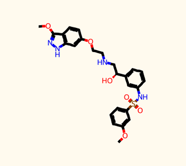 COc1cccc(S(=O)(=O)Nc2cccc([C@@H](O)CNCCOc3ccc4c(OC)n[nH]c4c3)c2)c1